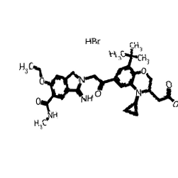 Br.CCOc1cc2c(cc1C(=O)NC)C(=N)N(CC(=O)c1cc3c(c(C(C)(C)C)c1)OCC(CC(=O)O)N3C1CC1)C2